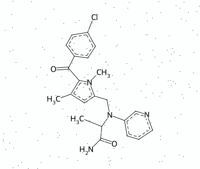 Cc1cc(CN(c2cccnc2)C(C)C(N)=O)n(C)c1C(=O)c1ccc(Cl)cc1